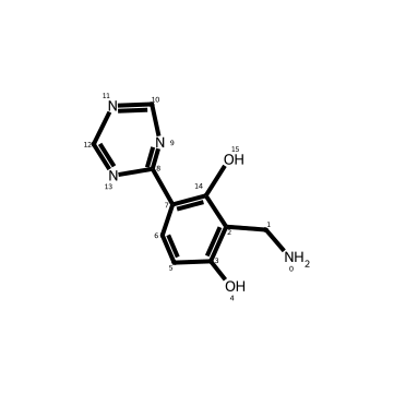 NCc1c(O)ccc(-c2ncncn2)c1O